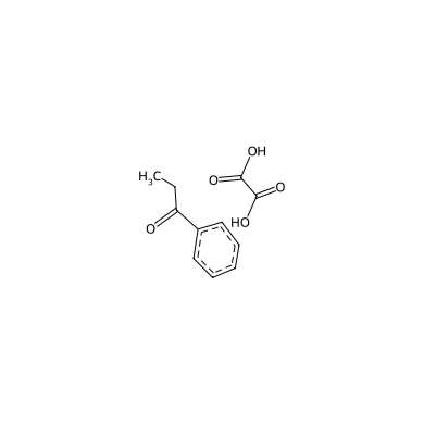 CCC(=O)c1ccccc1.O=C(O)C(=O)O